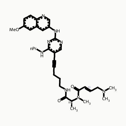 CCCNc1nc(Nc2cnc3ccc(OC)cc3c2)ncc1C#CCCCNC(=O)[C@H](C)N(C)C(=O)/C=C/CN(C)C